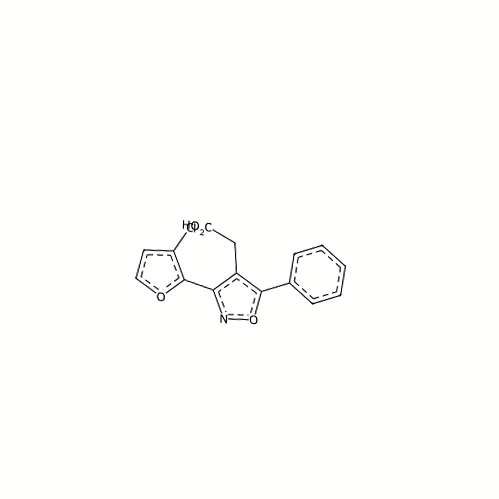 O=C(O)Cc1c(-c2occc2Cl)noc1-c1ccccc1